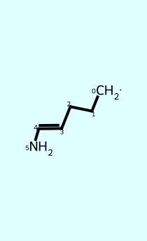 [CH2]CC/C=[C]/N